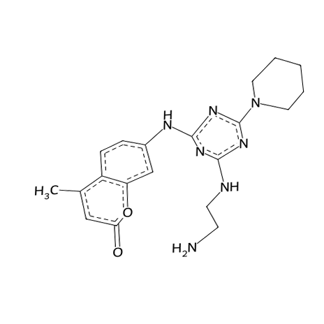 Cc1cc(=O)oc2cc(Nc3nc(NCCN)nc(N4CCCCC4)n3)ccc12